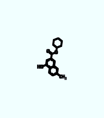 Cc1ccc2c(O)cc(C(=O)OC3CCCCC3)cc2c1